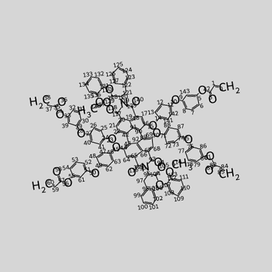 C=CC(=O)Oc1cccc(Oc2ccc(Oc3cc4c5c(cc(Oc6ccc(Oc7cccc(OC(=O)C=C)c7)cc6)c6c7c(Oc8ccc(Oc9cccc(OC(=O)C=C)c9)cc8)cc8c9c(cc(Oc%10ccc(Oc%11cccc(OC(=O)C=C)c%11)cc%10)c(c3c56)c97)C(=O)N(C(Cc3ccccc3)C(=O)Oc3ccccc3OC)C8=O)C(=O)N(C(Cc3ccccc3)C(=O)Oc3ccccc3OC)C4=O)cc2)c1